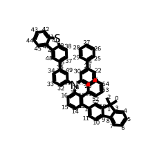 CC1(C)c2ccccc2-c2ccc(-c3cccc(N(c4cccc(-c5ccccc5)c4)c4cccc(-c5ccc6sc7ccccc7c6c5)c4)c3-c3ccccc3)cc21